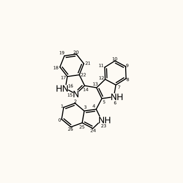 c1ccc2c(-c3[nH]c4ccccc4c3-c3n[nH]c4ccccc34)[nH]cc2c1